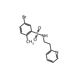 Cc1ccc(Br)cc1S(=O)(=O)NCCc1ccccn1